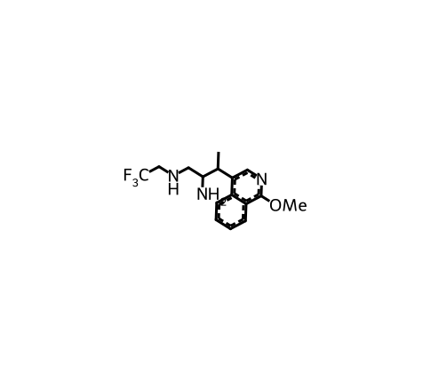 COc1ncc(C(C)C(N)CNCC(F)(F)F)c2ccccc12